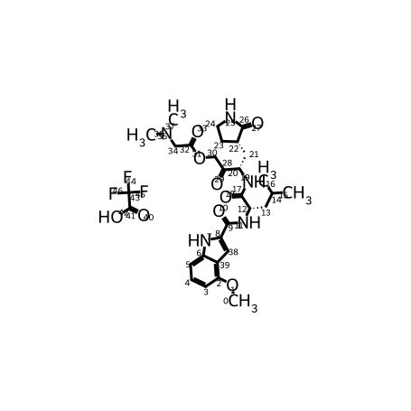 COc1cccc2[nH]c(C(=O)N[C@@H](CC(C)C)C(=O)N[C@@H](C[C@@H]3CCNC3=O)C(=O)COC(=O)CN(C)C)cc12.O=C(O)C(F)(F)F